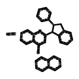 Cl.Cl.O=c1cc(C2c3ccccc3CC2c2ccccc2)oc2ccccc12.c1ccc2ccccc2c1